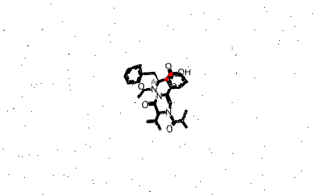 CC(=O)N([C@@H](Cc1ccccc1)C(=O)C(=O)O)N1C(=O)C(C(C)C)N(C(=O)C(C)C)C=C1c1ccccc1